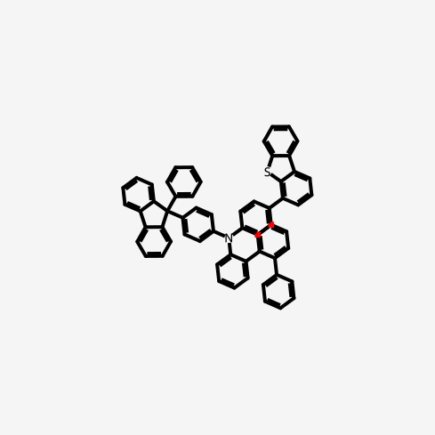 c1ccc(-c2ccccc2-c2ccccc2N(c2ccc(-c3cccc4c3sc3ccccc34)cc2)c2ccc(C3(c4ccccc4)c4ccccc4-c4ccccc43)cc2)cc1